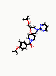 Cc1cc(C(=O)N2CCC3(CC2)CN(c2ncccn2)CC(COC(C)C)O3)ccc1OC(C)C